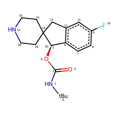 CC(C)(C)NC(=O)O[C@@H]1c2ccc(F)cc2CC12CCNCC2